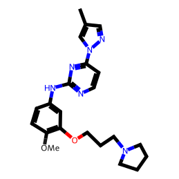 COc1ccc(Nc2nccc(-n3cc(C)cn3)n2)cc1OCCCN1CCCC1